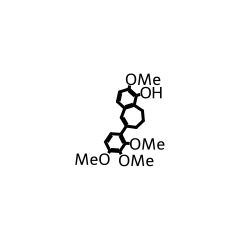 COc1ccc2c(c1O)CCCC(c1ccc(OC)c(OC)c1OC)=C2